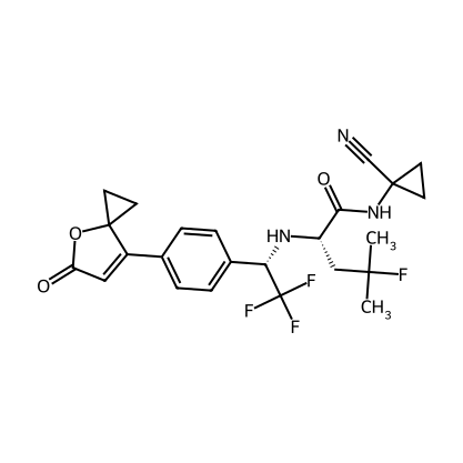 CC(C)(F)C[C@H](N[C@@H](c1ccc(C2=CC(=O)OC23CC3)cc1)C(F)(F)F)C(=O)NC1(C#N)CC1